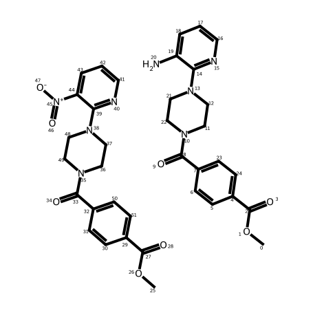 COC(=O)c1ccc(C(=O)N2CCN(c3ncccc3N)CC2)cc1.COC(=O)c1ccc(C(=O)N2CCN(c3ncccc3[N+](=O)[O-])CC2)cc1